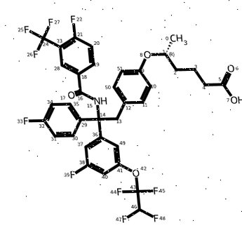 C[C@H](CCCC(=O)O)Oc1ccc(CC(NC(=O)c2ccc(F)c(C(F)(F)F)c2)(c2ccc(F)cc2)c2cc(F)cc(OC(F)(F)C(F)F)c2)cc1